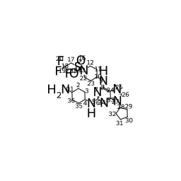 NC1CCC(Nc2nc(NC3CCN(S(=O)(=O)CC(F)(F)F)CC3)c3ncn(C4CCCC4)c3n2)CC1